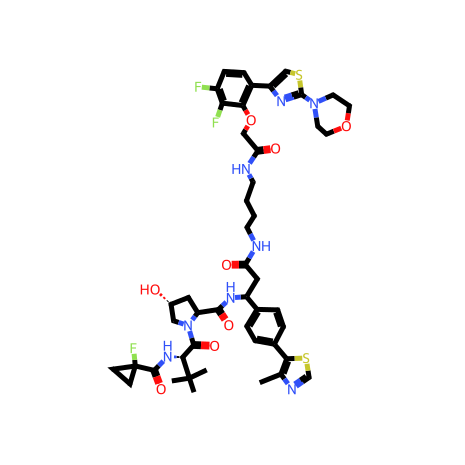 Cc1ncsc1-c1ccc(C(CC(=O)NCCCCNC(=O)COc2c(-c3csc(N4CCOCC4)n3)ccc(F)c2F)NC(=O)C2C[C@@H](O)CN2C(=O)[C@@H](NC(=O)C2(F)CC2)C(C)(C)C)cc1